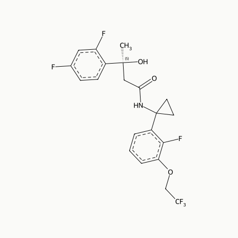 C[C@](O)(CC(=O)NC1(c2cccc(OCC(F)(F)F)c2F)CC1)c1ccc(F)cc1F